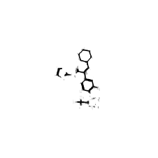 O=C(Nc1nccs1)C(=CC1CCCCC1)c1ccc(-n2nnnc2C(F)(F)F)c(Cl)c1